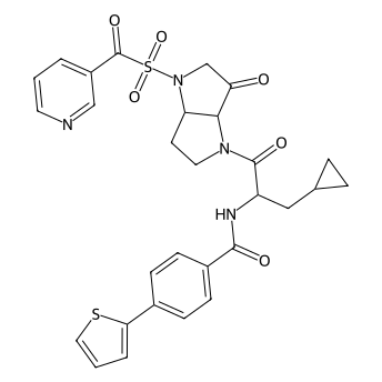 O=C(NC(CC1CC1)C(=O)N1CCC2C1C(=O)CN2S(=O)(=O)C(=O)c1cccnc1)c1ccc(-c2cccs2)cc1